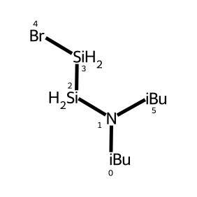 CCC(C)N([SiH2][SiH2]Br)C(C)CC